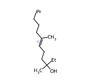 CCC(C)(O)CC/C=C(\C)CCCC(C)C